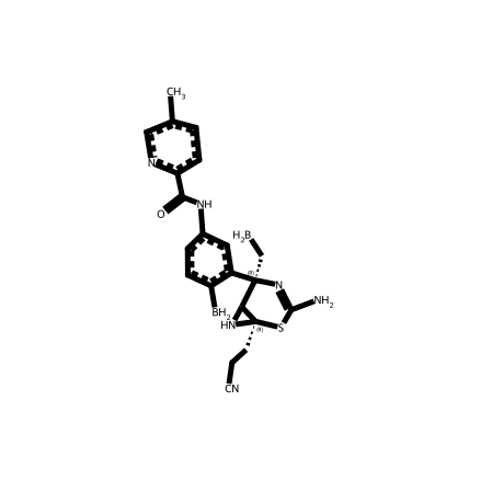 BC[C@]1(c2cc(NC(=O)c3ccc(C)cn3)ccc2B)N=C(N)S[C@@]2(CCC#N)NC21